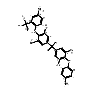 CC(C)(c1cc(Br)c(Oc2ccc(N)cc2)c(Br)c1)c1cc(Br)c(Oc2ccc(N)cc2C(F)(F)F)c(Br)c1